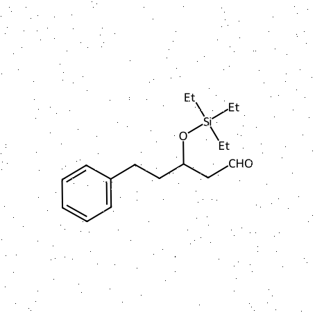 CC[Si](CC)(CC)OC(CC=O)CCc1ccccc1